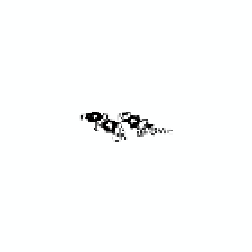 COCCOc1cc2ncnc(NC3=CC(=O)C(N(C)c4cccc(F)c4)=CC3=O)c2cc1OC